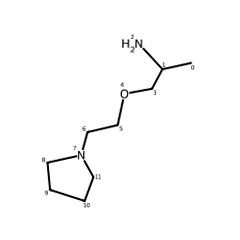 CC(N)COCCN1CCCC1